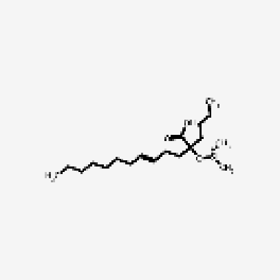 CCCCCCCC=CCCC(CCCC)(O[SiH](C)C)C(=O)O